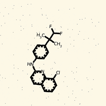 CC(C)(c1ccc(Nc2ccc3cccc(Cl)c3n2)cc1)C(F)F